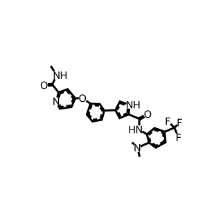 CNC(=O)c1cc(Oc2cccc(-c3c[nH]c(C(=O)Nc4cc(C(F)(F)F)ccc4N(C)C)c3)c2)ccn1